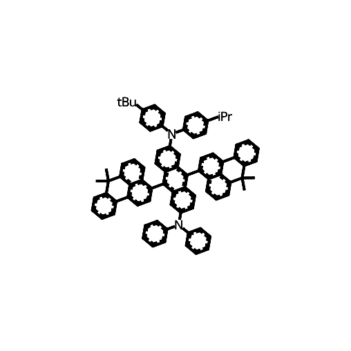 CC(C)c1ccc(N(c2ccc(C(C)(C)C)cc2)c2ccc3c(-c4ccc5c6c(cccc46)C(C)(C)c4ccccc4-5)c4cc(N(c5ccccc5)c5ccccc5)ccc4c(-c4ccc5c6c(cccc46)C(C)(C)c4ccccc4-5)c3c2)cc1